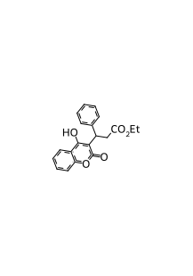 CCOC(=O)CC(c1ccccc1)c1c(O)c2ccccc2oc1=O